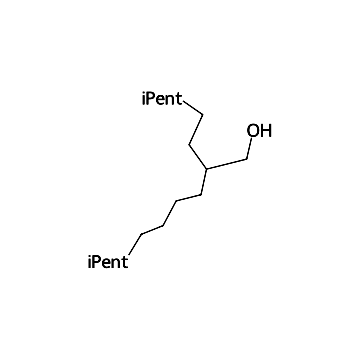 CCCC(C)CCCCC(CO)CCC(C)CCC